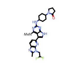 CNc1nc(NC2CCC(N3CCCC3=O)CC2)nc2[nH]cc(-c3ccc4nc(C)n(CC(F)F)c4n3)c12